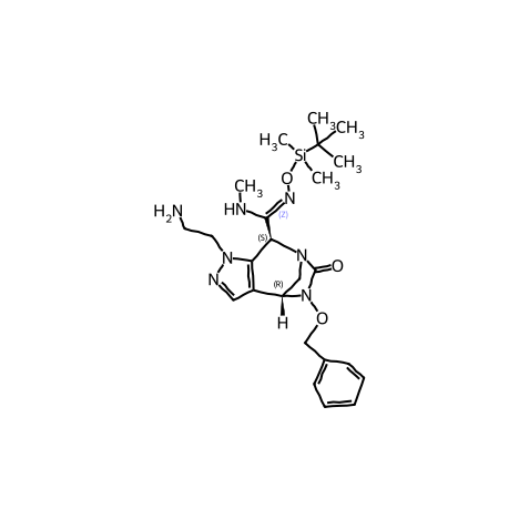 CN/C(=N\O[Si](C)(C)C(C)(C)C)[C@@H]1c2c(cnn2CCN)[C@@H]2CN1C(=O)N2OCc1ccccc1